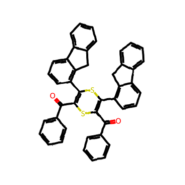 O=C(C1=C(c2cccc3c2Cc2ccccc2-3)SC(c2cccc3c2Cc2ccccc2-3)=C(C(=O)c2ccccc2)S1)c1ccccc1